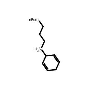 CCCCCCCC[SiH2]C1C=CCC=C1